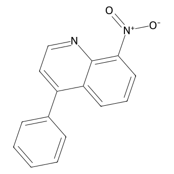 O=[N+]([O-])c1cccc2c(-c3ccccc3)ccnc12